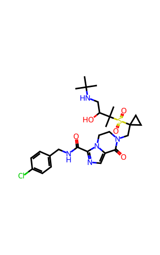 CC(C)(C)NCC(O)C(C)(C)S(=O)(=O)C1(CN2CCn3c(cnc3C(=O)NCc3ccc(Cl)cc3)C2=O)CC1